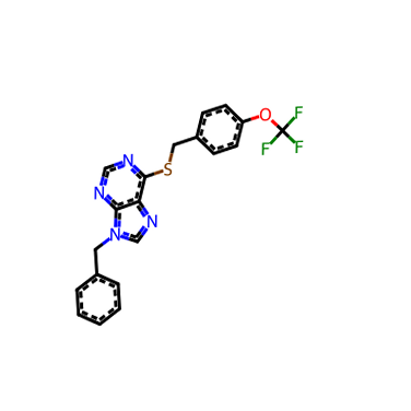 FC(F)(F)Oc1ccc(CSc2ncnc3c2ncn3Cc2ccccc2)cc1